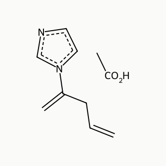 C=CCC(=C)n1ccnc1.CC(=O)O